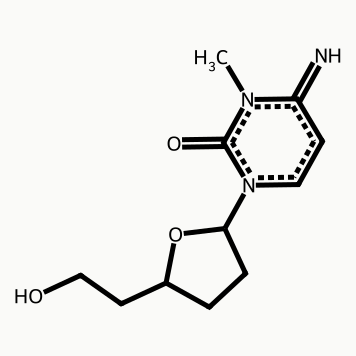 Cn1c(=N)ccn(C2CCC(CCO)O2)c1=O